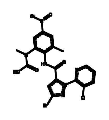 Cc1cc([N+](=O)[O-])cc(N(C)C(=O)O)c1NC(=O)c1cc(Br)nn1-c1ncccc1Cl